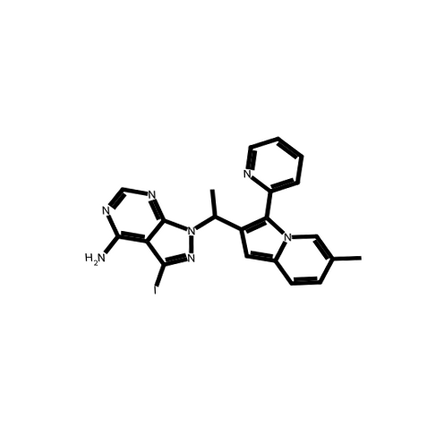 Cc1ccc2cc(C(C)n3nc(I)c4c(N)ncnc43)c(-c3ccccn3)n2c1